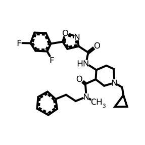 CN(CCc1ccccc1)C(=O)C1CN(CC2CC2)CCC1NC(=O)c1cc(-c2ccc(F)cc2F)on1